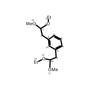 CCOC(Cc1c[c]cc(CC(OC)OCC)c1)OC